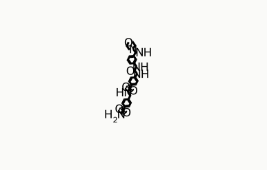 N=C(c1cccc(NC(=O)Nc2ccc(S(=O)(=O)NCc3ccc(S(N)(=O)=O)cc3)cc2)c1)N1CCOCC1